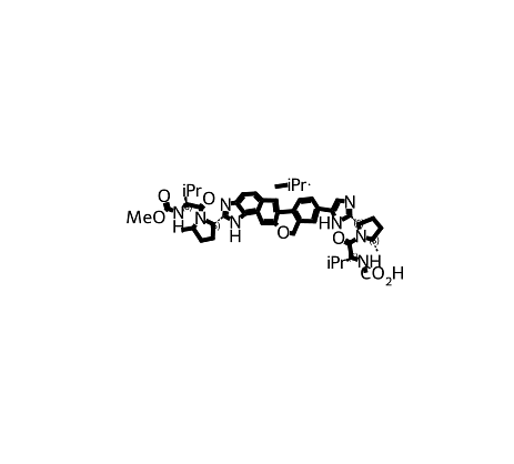 COC(=O)N[C@H](C(=O)N1C(C)CC[C@H]1c1nc2ccc3cc4c(cc3c2[nH]1)OCc1cc(-c2cnc([C@@H]3CC[C@H](C)N3C(=O)[C@@H](NC(=O)O)C(C)C)[nH]2)ccc1-4)C(C)C.C[C](C)C